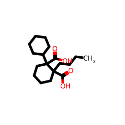 CCCCC1(C(=O)O)CCCCC1(C(=O)O)C1CCCCC1